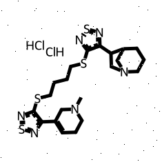 CN1CCC=C(c2nsnc2SCCCCSc2nsnc2C2CN3CCCC2C3)C1.Cl.Cl